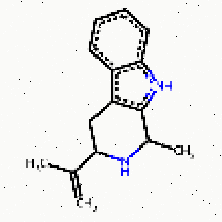 C=C(C)C1Cc2c([nH]c3ccccc23)C(C)N1